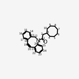 O=C(CC1CCCCCCC1)N1Cc2ccccc2C#Cc2ccccc21